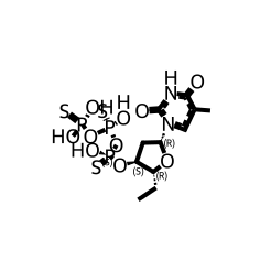 CC[C@H]1O[C@@H](n2cc(C)c(=O)[nH]c2=O)C[C@@H]1O[P@](O)(=S)OP(O)(=S)OP(O)(O)=S